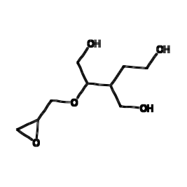 OCCC(CO)C(CO)OCC1CO1